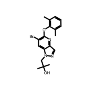 Cc1cccc(C)c1Oc1nc2cnn(CC(C)(C)O)c2cc1Br